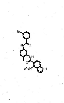 CNc1c(C(=O)Nc2cc(NC(=O)c3cccc(Br)c3)ccc2C)cnc2[nH]ccc12